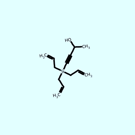 C=CC[Si](C#CC(C)O)(CC=C)CC=C